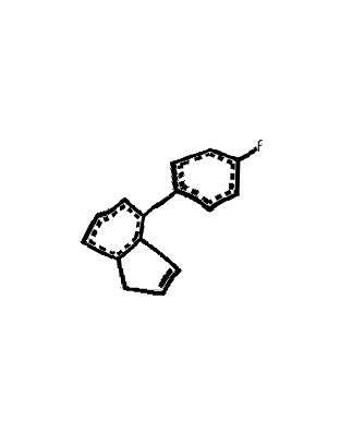 Fc1ccc(-c2cccc3c2C=C[CH]3)cc1